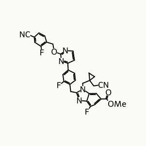 COC(=O)c1cc(F)c2nc(Cc3ccc(-c4ccnc(OCc5ccc(C#N)cc5F)n4)cc3F)n(CC3(CC#N)CC3)c2c1